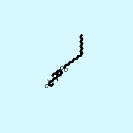 CCCCCCCC/C=C\CCCCCCCC(=O)Oc1ccc2c(c1)CC[C@@H]([C@@H]1CCC(=O)[C@@H]1C)[C@@H]2C